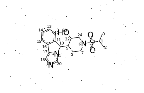 CC(C)S(=O)(=O)N1CCC(C2c3ccccc3-c3cncn32)C(O)C1